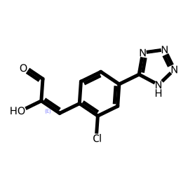 O=C/C(O)=C\c1ccc(-c2nnn[nH]2)cc1Cl